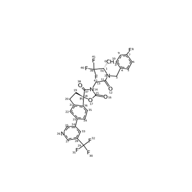 C[C@H](N(Cc1ccc(F)cc1)C(=O)CN1C(=O)O[C@@]2(CCc3cc(-c4cncc(C(F)(F)F)c4)ccc32)C1=O)C(F)(F)F